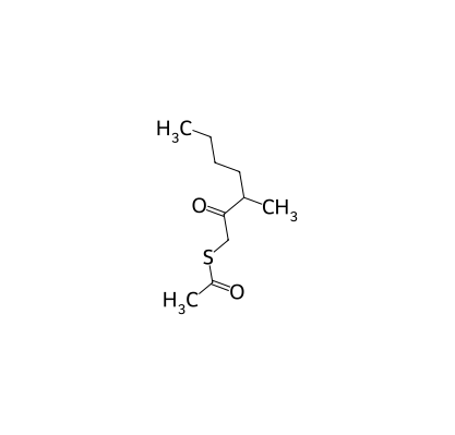 CCCCC(C)C(=O)CSC(C)=O